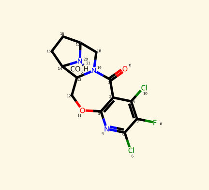 O=C1c2c(nc(Cl)c(F)c2Cl)OCC2C3CCC(CN12)N3C(=O)O